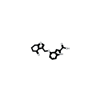 O=C(O)c1cc2c(OCc3coc4c3C(=O)CCC4)cccc2[nH]1